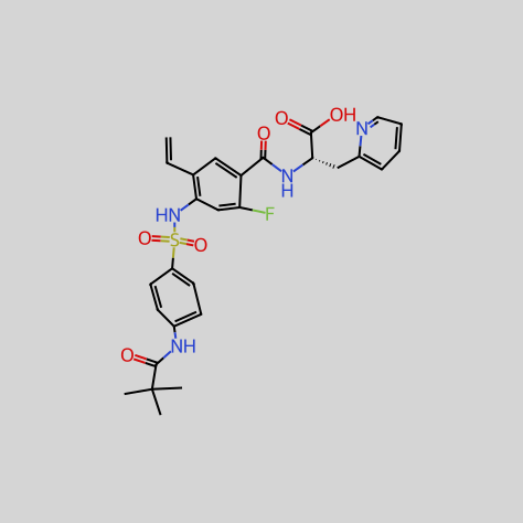 C=Cc1cc(C(=O)N[C@@H](Cc2ccccn2)C(=O)O)c(F)cc1NS(=O)(=O)c1ccc(NC(=O)C(C)(C)C)cc1